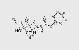 C=CCC(O)(C(=O)O)[N+]1([O-])CC(NC(=O)Cc2ccccc2)C1S